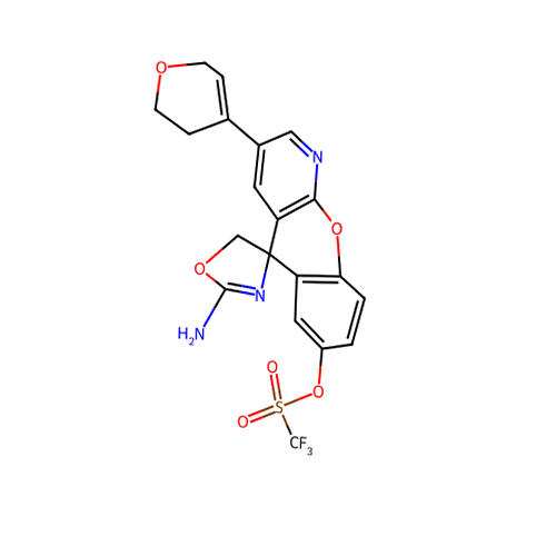 NC1=NC2(CO1)c1cc(OS(=O)(=O)C(F)(F)F)ccc1Oc1ncc(C3=CCOCC3)cc12